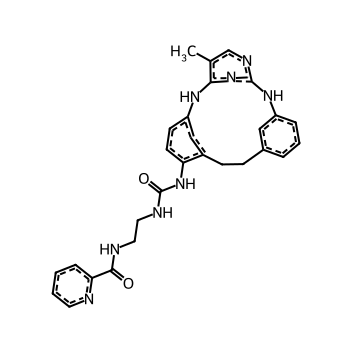 Cc1cnc2nc1Nc1ccc(NC(=O)NCCNC(=O)c3ccccn3)c(c1)CCc1cccc(c1)N2